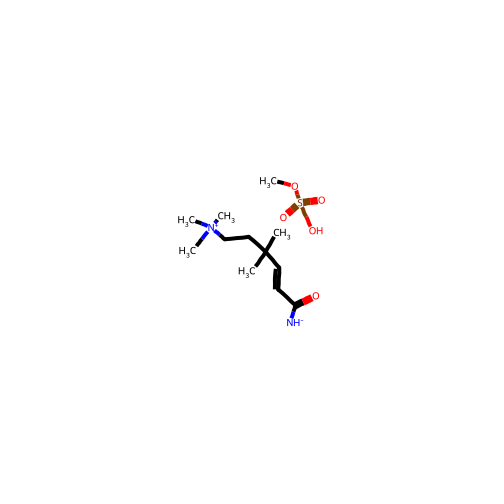 CC(C)(C=CC([NH-])=O)CC[N+](C)(C)C.COS(=O)(=O)O